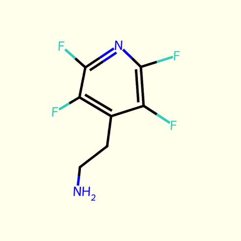 NCCc1c(F)c(F)nc(F)c1F